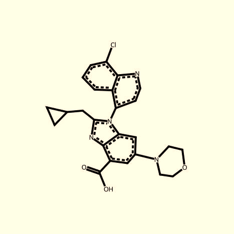 O=C(O)c1cc(N2CCOCC2)cc2c1nc(CC1CC1)n2-c1ccnc2c(Cl)cccc12